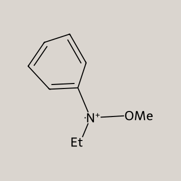 CC[N+](OC)c1ccccc1